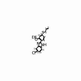 C=CCSc1ccc(-c2nc3cc(Cl)ccc3[nH]2)c(OCC)c1